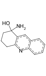 NC1(O)CCCc2nc3ccccc3cc21